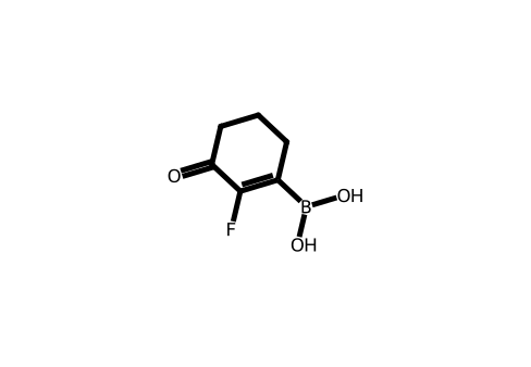 O=C1CCCC(B(O)O)=C1F